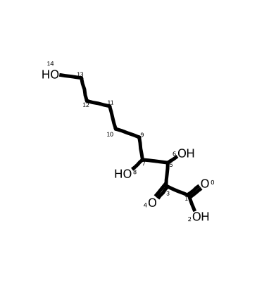 O=C(O)C(=O)C(O)C(O)CCCCCO